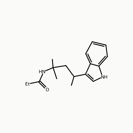 CCC(=O)NC(C)(C)CC(C)c1c[nH]c2ccccc12